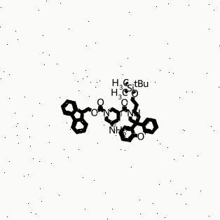 CC(C)(C)[Si](C)(C)OCCCCC1(CNC(=O)[C@H]2C[C@@H](N)CN(C(=O)OCC3c4ccccc4-c4ccccc43)C2)c2ccccc2Oc2ccccc21